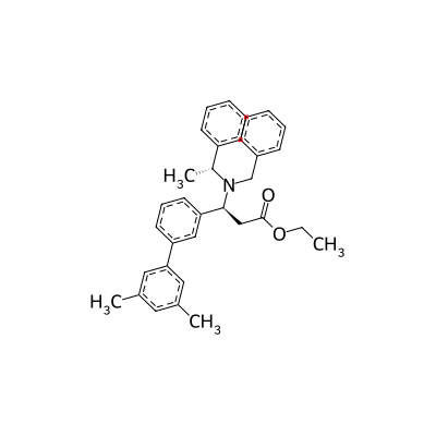 CCOC(=O)C[C@@H](c1cccc(-c2cc(C)cc(C)c2)c1)N(Cc1ccccc1)[C@H](C)c1ccccc1